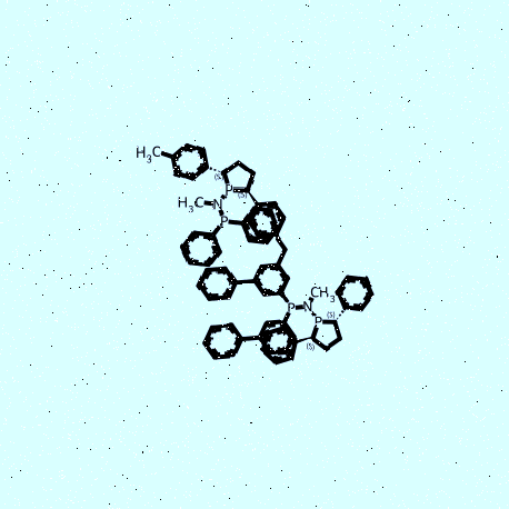 Cc1ccc([C@@H]2CC[C@@H](c3ccc(Cc4cc(-c5ccccc5)cc(P(c5cccc(-c6ccccc6)c5)N(C)P5[C@H](c6ccccc6)CC[C@H]5c5ccccc5)c4)cc3)P2N(C)P(c2ccccc2)c2ccccc2)cc1